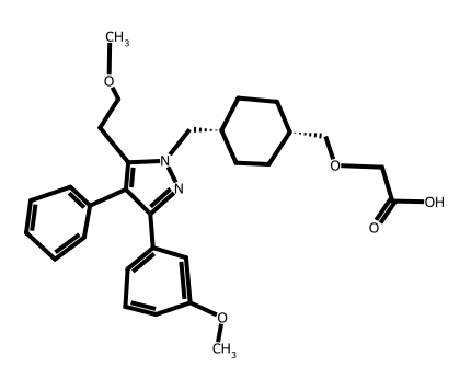 COCCc1c(-c2ccccc2)c(-c2cccc(OC)c2)nn1C[C@H]1CC[C@@H](COCC(=O)O)CC1